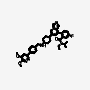 CCN(C(=O)c1cc(F)ccc1-c1cc(C2CCC(NCc3ccc(-c4cc(OC)c(OC)nn4)cc3)CC2)cn2cncc12)C(C)C